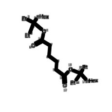 CCCCCCC(CC)(CC)OC(=O)CCCCC(=O)OC(CC)(CC)CCCCCC